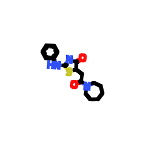 O=C1N=C(Nc2ccccc2)SC1CC(=O)N1CCCCCC1